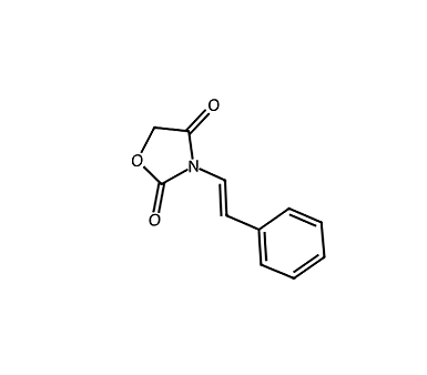 O=C1COC(=O)N1C=Cc1ccccc1